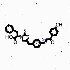 Cc1ccc(C(=O)/C=C/c2ccc(C=C3CN(C(Cc4ccccc4)C(=O)O)C(=S)S3)cc2)cc1